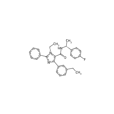 CCc1cccc(-c2nc(-c3ccccc3)n(CC)c2C(=O)NC(C)c2ccc(F)cc2)c1